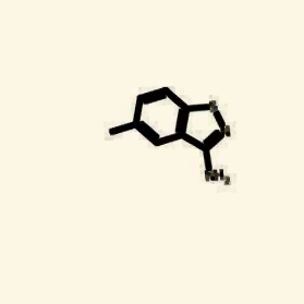 Cc1ccc2snc(N)c2c1